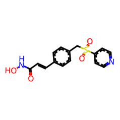 O=C(/C=C/c1ccc(CS(=O)(=O)c2ccncc2)cc1)NO